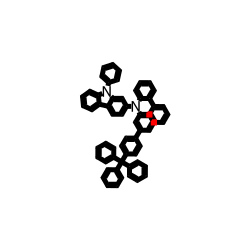 c1ccc(-c2ccccc2N(c2cccc(-c3ccc(C(c4ccccc4)(c4ccccc4)c4ccccc4)cc3)c2)c2ccc3c4ccccc4n(-c4ccccc4)c3c2)cc1